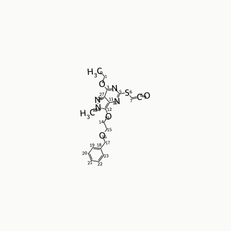 CCOc1nc(SC=C=O)nc2c(OCCOCc3ccccc3)n(C)nc12